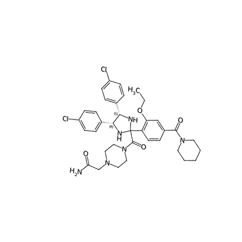 CCOc1cc(C(=O)N2CCCCC2)ccc1C1(C(=O)N2CCN(CC(N)=O)CC2)N[C@H](c2ccc(Cl)cc2)[C@H](c2ccc(Cl)cc2)N1